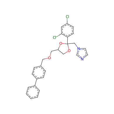 Clc1ccc(C2(Cn3ccnc3)OCC(COCc3ccc(-c4ccccc4)cc3)O2)c(Cl)c1